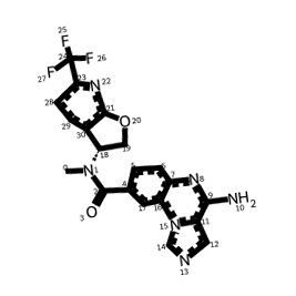 CN(C(=O)c1ccc2nc(N)c3cncn3c2c1)[C@H]1COc2nc(C(F)(F)F)ccc21